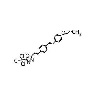 CCCOc1ccc(C=Cc2ccc(C=Cc3nnc(C(Cl)(Cl)Cl)o3)cc2)cc1